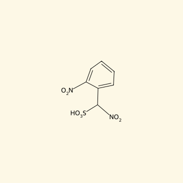 O=[N+]([O-])c1ccccc1C([N+](=O)[O-])S(=O)(=O)O